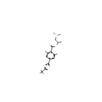 CC(CN(C)C)NC(=O)c1c(F)cc(-c2noc(C(F)(F)F)n2)cc1F